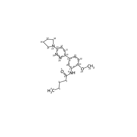 CCCCC(=O)Nc1cc(-c2ccc(N3CCCC3)nn2)ccc1OC